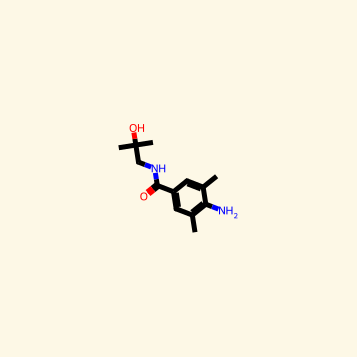 Cc1cc(C(=O)NCC(C)(C)O)cc(C)c1N